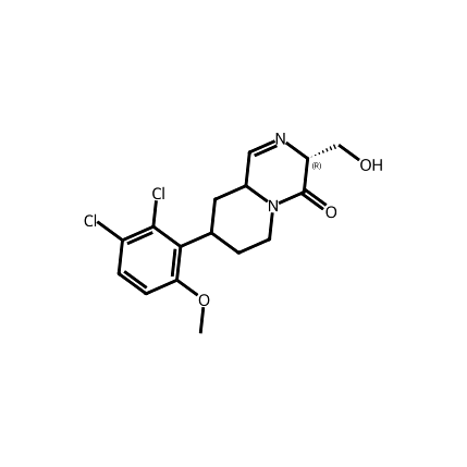 COc1ccc(Cl)c(Cl)c1C1CCN2C(=O)[C@@H](CO)N=CC2C1